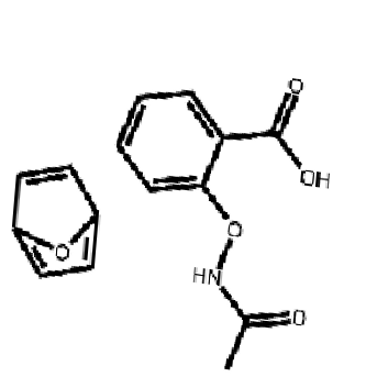 CC(=O)NOc1ccccc1C(=O)O.c1cc2ccc1o2